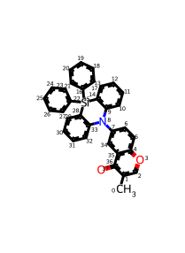 Cc1coc2ccc(N3c4ccccc4[Si](c4ccccc4)(c4ccccc4)c4ccccc43)cc2c1=O